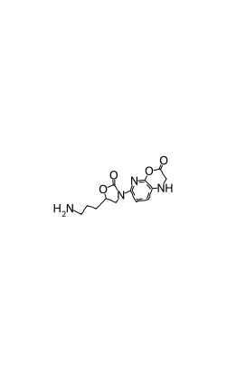 NCCCC1CN(c2ccc3c(n2)OC(=O)CN3)C(=O)O1